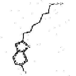 O=[C]OCCCCCCc1cc2ccc(Cl)cc2o1